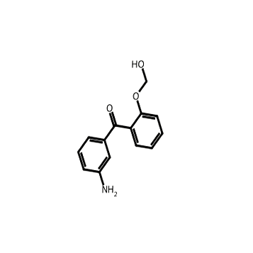 Nc1cccc(C(=O)c2ccccc2OCO)c1